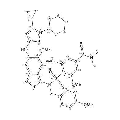 COc1ccc(CN(c2noc3cc(Nc4cc(C5CC5)n(C5CCCCO5)n4)c(OC)cc23)S(=O)(=O)c2c(OC)cc(C(=O)N(C)C)cc2OC)cc1